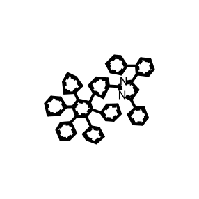 c1ccc(-c2cc(-c3ccccc3-c3ccccc3)nc(-c3cccc(-c4c(-c5ccccc5)c(-c5ccccc5)c(-c5ccccc5)c(-c5ccccc5)c4-c4ccccc4)c3)n2)cc1